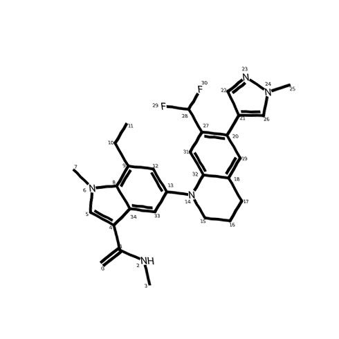 C=C(NC)c1cn(C)c2c(CC)cc(N3CCCc4cc(-c5cnn(C)c5)c(C(F)F)cc43)cc12